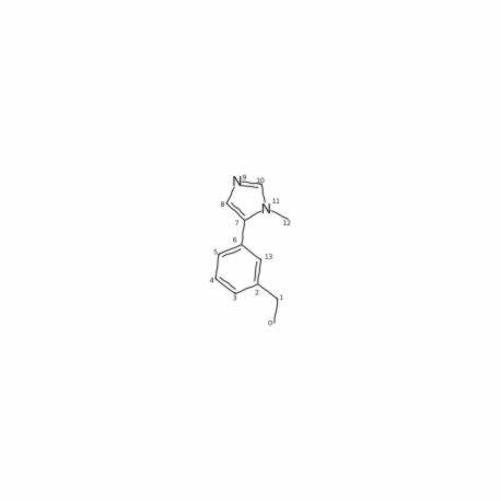 CCc1cccc(-c2cncn2C)c1